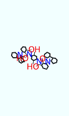 Cc1cc(N2C(O)c3cccc(-n4c5ccccc5c5ccccc54)c3C2O)c(C)cc1N1C(=O)c2c(cccc2-n2c3ccccc3c3ccccc32)C1O